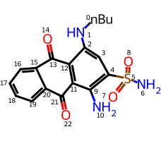 CCCCNc1cc(S(N)(=O)=O)c(N)c2c1C(=O)c1ccccc1C2=O